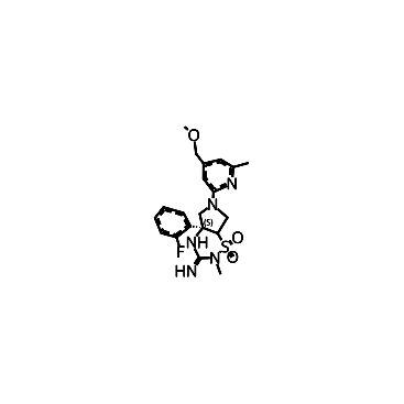 COCc1cc(C)nc(N2CC3[C@](c4ccccc4F)(C2)NC(=N)N(C)S3(=O)=O)c1